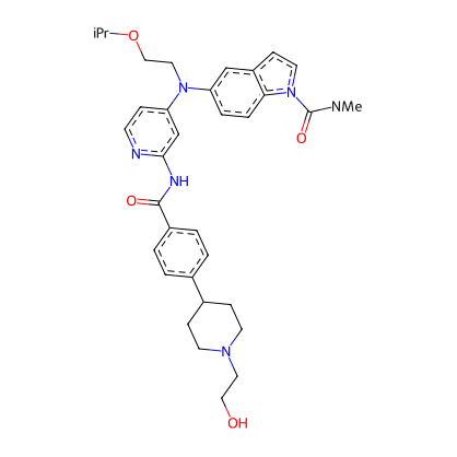 CNC(=O)n1ccc2cc(N(CCOC(C)C)c3ccnc(NC(=O)c4ccc(C5CCN(CCO)CC5)cc4)c3)ccc21